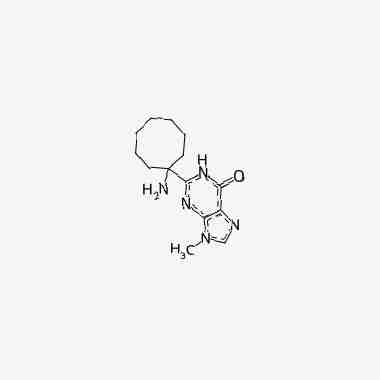 Cn1cnc2c(=O)[nH]c(C3(N)CCCCCCC3)nc21